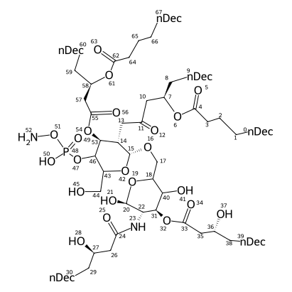 CCCCCCCCCCCCCC(=O)O[C@H](CCCCCCCCCCC)CC(=O)C[C@@H]1[C@H](OCC2O[C@H](O)[C@@H](NC(=O)C[C@H](O)CCCCCCCCCCC)[C@H](OC(=O)C[C@H](O)CCCCCCCCCCC)C2O)OC(CO)C(OP(=O)(O)ON)[C@H]1OC(=O)C[C@@H](CCCCCCCCCCC)OC(=O)CCCCCCCCCCCCC